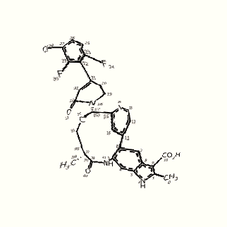 Cc1[nH]c2cc3c(cc2c1C(=O)O)-c1ccnc(c1)[C@@H](N1CCC(c2c(F)ccc(Cl)c2F)=CC1=O)CCC[C@@H](C)C(=O)N3